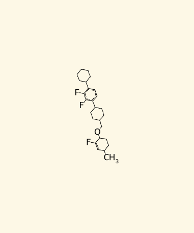 CC1C=C(F)C(OCC2CCC(c3ccc(C4CCCCC4)c(F)c3F)CC2)CC1